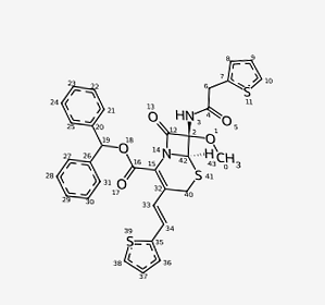 CO[C@@]1(NC(=O)Cc2cccs2)C(=O)N2C(C(=O)OC(c3ccccc3)c3ccccc3)=C(/C=C/c3cccs3)CS[C@@H]21